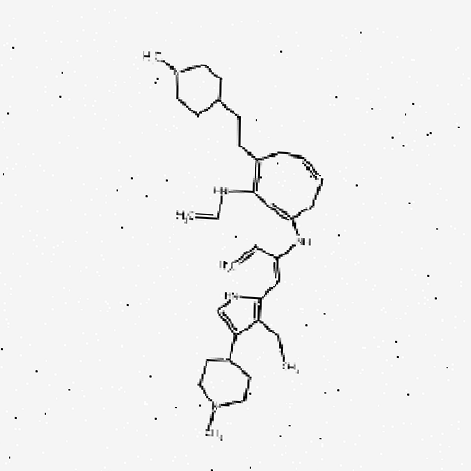 C=CNC1=C(\CCC2CCN(C)CC2)CC=CC/C(N/C(C=C)=C/c2[nH]cc(C3CCN(C)CC3)c2CC)=C\1